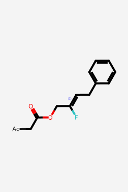 CC(=O)CC(=O)OC/C(F)=C/Cc1ccccc1